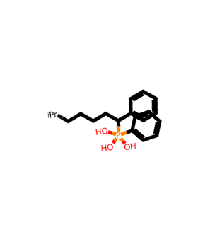 CC(C)CCCCC(c1ccccc1)P(O)(O)(O)c1ccccc1